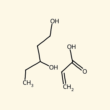 C=CC(=O)O.CCC(O)CCO